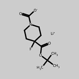 CC(C)(C)OC(=O)C1(F)CCN(C(=O)[O-])CC1.[Li+]